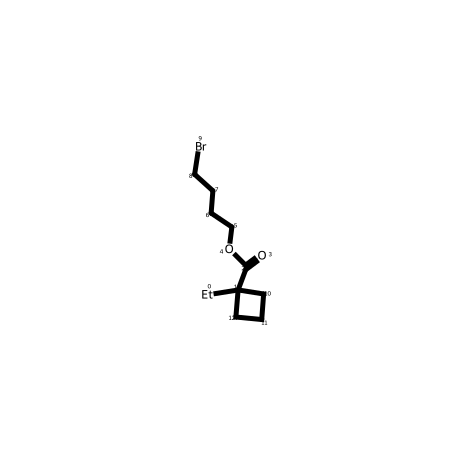 CCC1(C(=O)OCCCCBr)CCC1